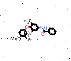 COc1ccc(Oc2c(C)cc(NC(=O)c3ccccc3)cc2C)cc1C(C)C